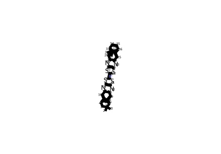 CC1(C)CC2C=CC1c1cc3nc4c(nc3cc12)S/C(=C1/Sc2nc3cc5c(cc3nc2S1)C1C=CC5CC1(C)C)S4